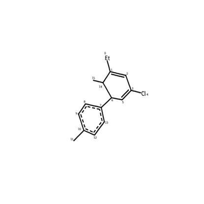 CCC1=CC(Cl)=CC(c2ccc(C)cc2)C1C